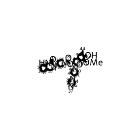 COc1cc(CC(OC(=O)N2CCC(N3CCc4ccccc4NC3=O)CC2)C(=O)N2CCC(N3CCN(C)CC3)CC2)cc(C)c1O